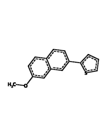 COc1ccc2ccc(-c3cccs3)cc2c1